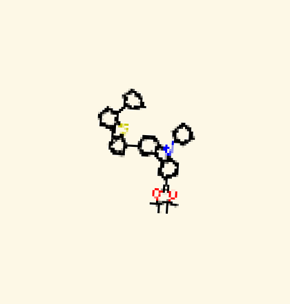 CC1(C)OB(c2ccc3c(c2)c2cc(-c4cccc5c4sc4c(-c6ccccc6)cccc45)ccc2n3-c2ccccc2)OC1(C)C